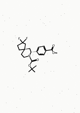 COC(=O)c1ccc([C@H]2C[C@@]3(CCN2C(=O)OC(C)(C)C)CCC(F)(F)C3)cc1